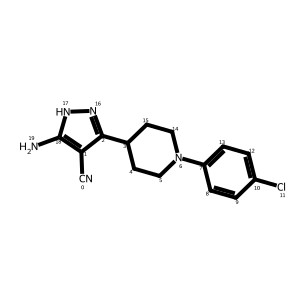 N#Cc1c(C2CCN(c3ccc(Cl)cc3)CC2)n[nH]c1N